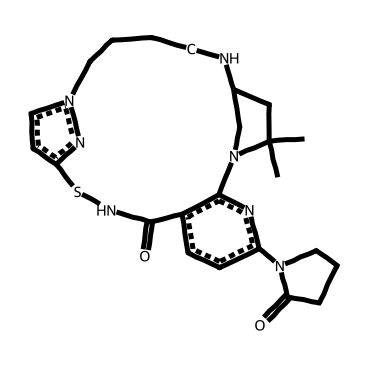 CC1(C)CC2CN1c1nc(N3CCCC3=O)ccc1C(=O)NSc1ccn(n1)CCCCN2